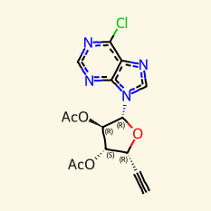 C#C[C@H]1O[C@@H](n2cnc3c(Cl)ncnc32)[C@H](OC(C)=O)[C@H]1OC(C)=O